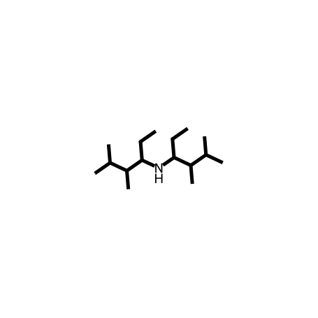 CCC(NC(CC)C(C)C(C)C)C(C)C(C)C